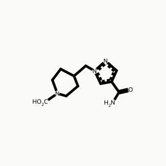 NC(=O)c1cnn(CC2CCN(C(=O)O)CC2)c1